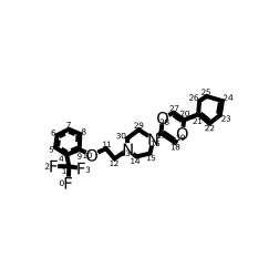 FC(F)(F)c1ccccc1OCCN1CCN(C2=COC(C3=CC=CCC3)=CO2)CC1